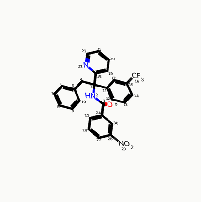 O=C(NC(Cc1ccccc1)(c1cccc(C(F)(F)F)c1)c1ccccn1)c1cccc([N+](=O)[O-])c1